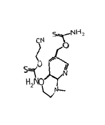 CN1CCOC2C=C(COC(N)=S)C=NC21.N#CCCOC(N)=S